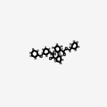 O=C(Nc1cccc(Oc2ccccc2)c1)c1ccccc1-c1ccccc1C(=O)OCc1ccccc1